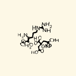 COC(=O)[C@@H](N)CCCNC(=N)N.O=C(O)CC(O)(CC(=O)O)C(=O)O